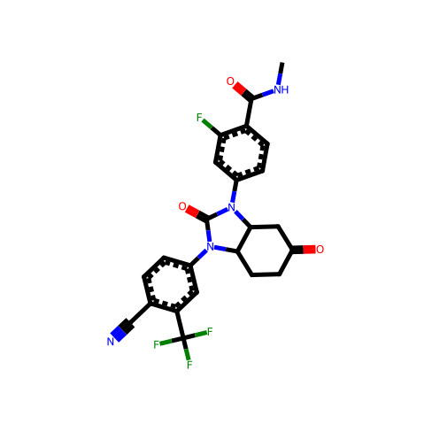 CNC(=O)c1ccc(N2C(=O)N(c3ccc(C#N)c(C(F)(F)F)c3)C3CCC(=O)CC32)cc1F